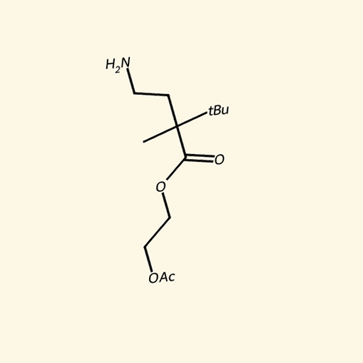 CC(=O)OCCOC(=O)C(C)(CCN)C(C)(C)C